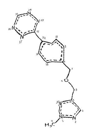 Cn1ncc(COCc2ccc(-c3nncnn3)cc2)n1